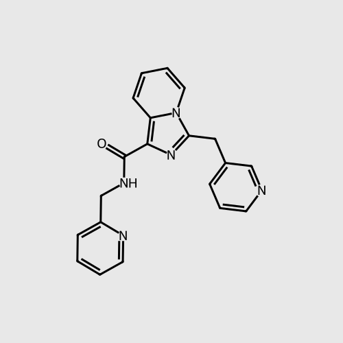 O=C(NCc1ccccn1)c1nc(Cc2cccnc2)n2ccccc12